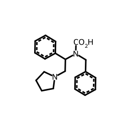 O=C(O)N(Cc1ccccc1)C(CN1CCCC1)c1ccccc1